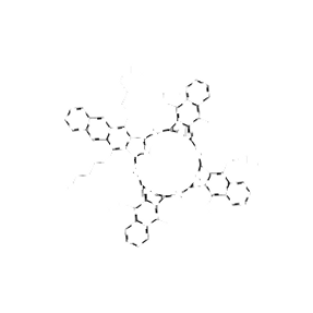 CCCCOc1c2c(c(OCCCC)c3cc4ccccc4cc13)-c1nc-2nc2[nH]c(nc3nc(nc4[nH]c(n1)c1c(OC)c5ccccc5c(C)c41)-c1c-3c(OC)c3ccccc3c1OC)c1c(C)c3ccccc3c(OC)c21